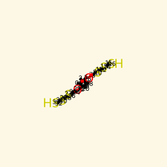 Cc1c(C)c(COCCCSCCSCCS)c(C)c(C)c1COCCCSCCSCCS